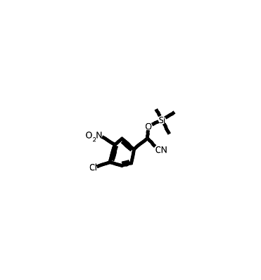 C[Si](C)(C)OC(C#N)c1ccc(Cl)c([N+](=O)[O-])c1